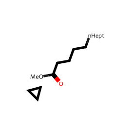 C1CC1.CCCCCCCCCCCC(=O)OC